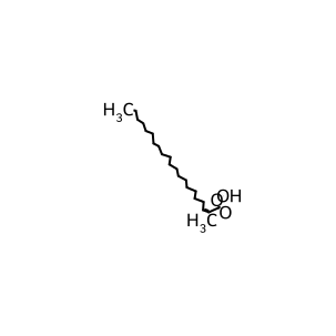 CCCCCCCCCCCCCCCCCCC=C(C)C(=O)OO